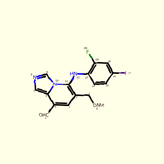 COCc1cc(C=O)c2cncn2c1Nc1ccc(I)cc1F